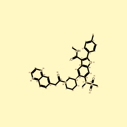 CNC(=O)c1c(-c2ccc(C)cc2)oc2cc(N(C)S(C)(=O)=O)c([C@H]3CCCN(C(=O)Cc4ccc5nccnc5c4)C3)cc12